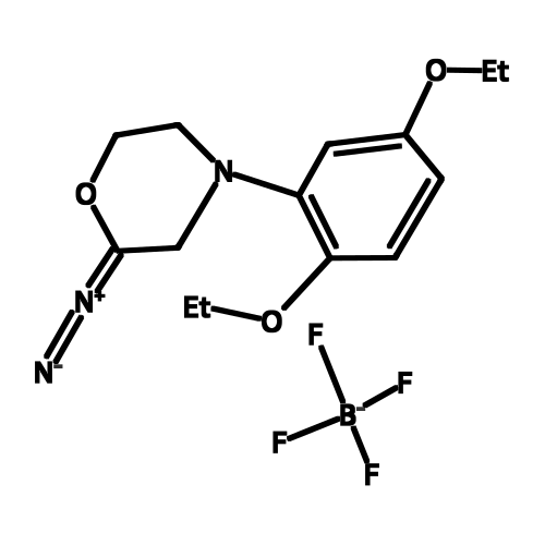 CCOc1ccc(OCC)c(N2CCOC(=[N+]=[N-])C2)c1.F[B-](F)(F)F